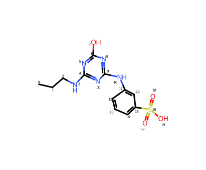 CCCNc1nc(O)nc(Nc2cccc(S(=O)(=O)O)c2)n1